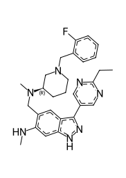 CCc1ncc(-c2n[nH]c3cc(NC)c(CN(C)[C@@H]4CCCN(Cc5ccccc5F)C4)cc23)cn1